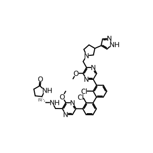 COc1nc(-c2cccc(-c3cccc(-c4cnc(CN5CCC(c6cn[nH]c6)C5)c(OC)n4)c3Cl)c2Cl)cnc1CNC[C@@H]1CCC(=O)N1